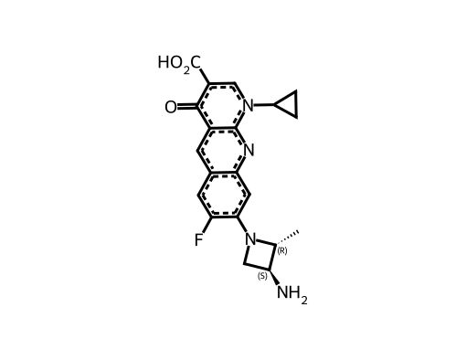 C[C@@H]1[C@@H](N)CN1c1cc2nc3c(cc2cc1F)c(=O)c(C(=O)O)cn3C1CC1